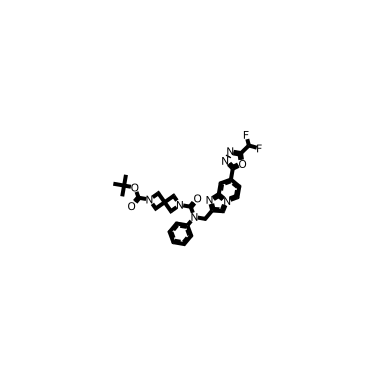 CC(C)(C)OC(=O)N1CC2(C1)CN(C(=O)N(Cc1cn3ccc(-c4nnc(C(F)F)o4)cc3n1)c1ccccc1)C2